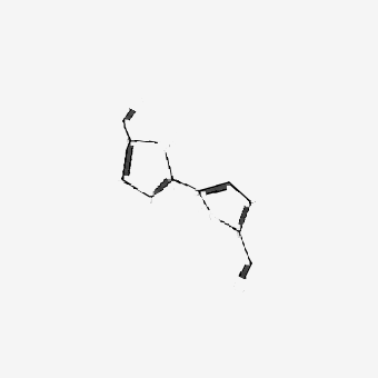 O=Cc1ccc(-c2ccc(C=O)[se]2)[se]1